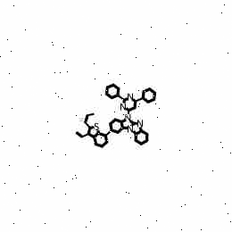 C=Cc1c(/C=C\C)sc2c(-c3ccc4c(c3)n3c5ccccc5nc3n4-c3cc(-c4ccccc4)nc(-c4ccccc4)n3)cccc12